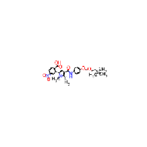 Cc1c(C(=O)Nc2ccc(OCOCC[Si](C)(C)C)cc2)cc(-c2cc([N+](=O)[O-])ccc2C(=O)O)n1C